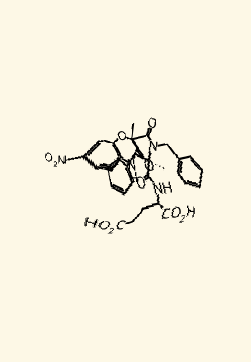 CC1(C(=O)N(Cc2ccccc2)[C@](C)(Cc2ccccc2)C(=O)N[C@H](CCC(=O)O)C(=O)O)Oc2cc([N+](=O)[O-])ccc2NC1=O